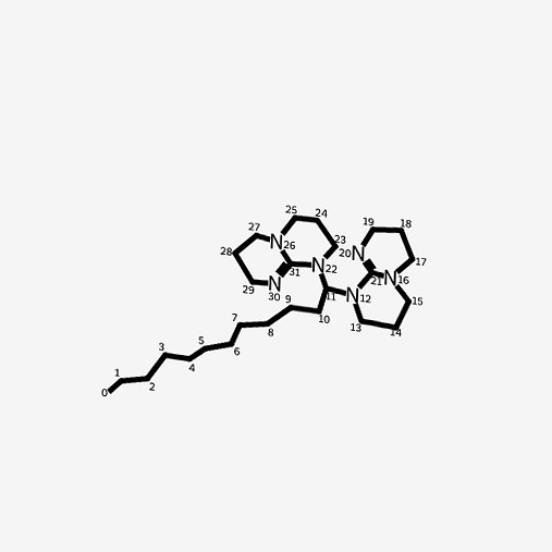 CCCCCCCCCCCC(N1CCCN2CCCN=C21)N1CCCN2CCCN=C21